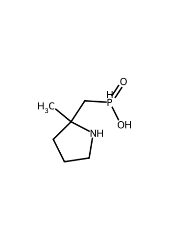 CC1(C[PH](=O)O)CCCN1